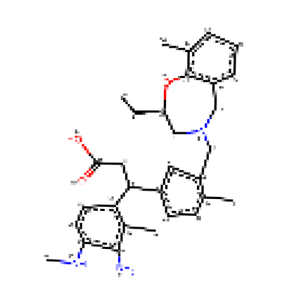 CC[C@@H]1CN(Cc2cc(C(CC(=O)O)c3ccc(NC)c(N)c3C)ccc2C)Cc2cccc(C)c2O1